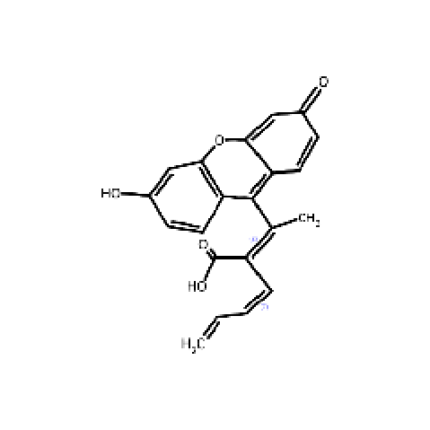 C=C/C=C\C(C(=O)O)=C(/C)c1c2ccc(=O)cc-2oc2cc(O)ccc12